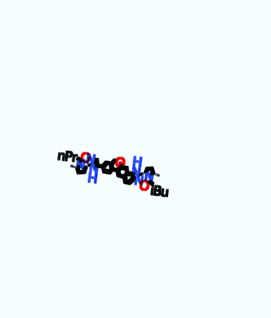 CCCC(=O)N1[C@@H](C)CC[C@H]1c1ncc(-c2ccc3c(c2)COc2cc4c(ccc5nc([C@@H]6CC[C@H](C)N6C(=O)C[C@@H](C)CC)[nH]c54)cc2-3)[nH]1